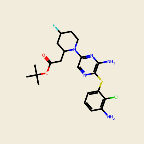 CC(C)(C)OC(=O)CC1CC(F)CCN1c1cnc(Sc2cccc(N)c2Cl)c(N)n1